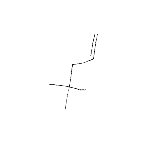 C=CCC(C)(C)C